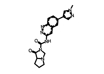 Cn1cc(-c2ccc3nnc(NC(=O)N4CN5CCCC5C4=O)cc3c2)cn1